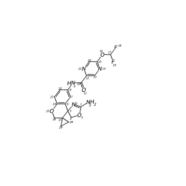 NC1=NC2(CO1)c1cc(NC(=O)c3cnc(OC(F)F)cn3)ccc1OCC21CC1